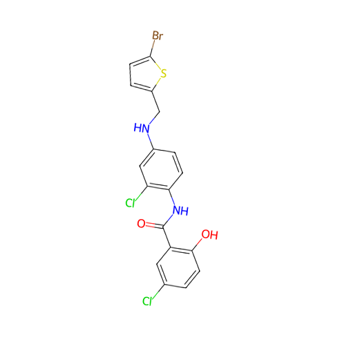 O=C(Nc1ccc(NCc2ccc(Br)s2)cc1Cl)c1cc(Cl)ccc1O